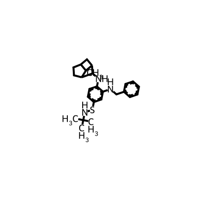 CC(C)(C)NSc1ccc(NC2C3CCC4CC2C43C)c(NCc2ccccc2)c1